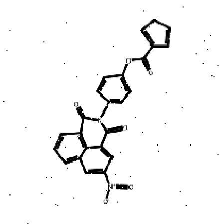 O=C(Oc1ccc(N2C(=O)c3cccc4cc([N+](=O)[O-])cc(c34)C2=O)cc1)C1=CCC=C1